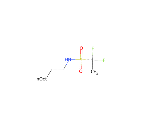 CCCCCCCCCCNS(=O)(=O)C(F)(F)C(F)(F)F